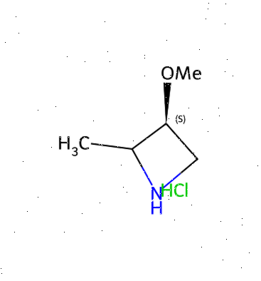 CO[C@H]1CNC1C.Cl